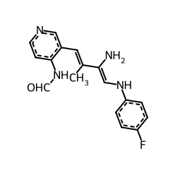 CC(=C\c1cnccc1NC=O)/C(N)=C/Nc1ccc(F)cc1